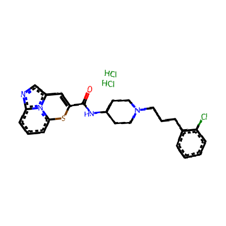 Cl.Cl.O=C(NC1CCN(CCCc2ccccc2Cl)CC1)C1=Cc2cnc3cccc(n23)S1